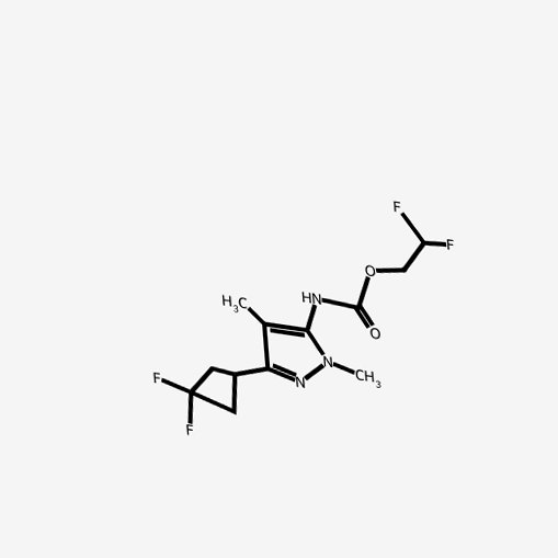 Cc1c(C2CC(F)(F)C2)nn(C)c1NC(=O)OCC(F)F